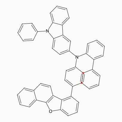 c1ccc(-c2ccccc2N(c2ccc(-c3cccc4oc5c6ccccc6ccc5c34)cc2)c2ccc3c(c2)c2ccccc2n3-c2ccccc2)cc1